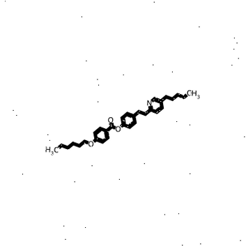 CCCCCCOc1ccc(C(=O)Oc2ccc(CCc3ccc(CCCCC)cn3)cc2)cc1